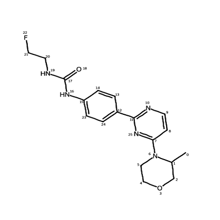 CC1COCCN1c1ccnc(-c2ccc(NC(=O)NCCF)cc2)n1